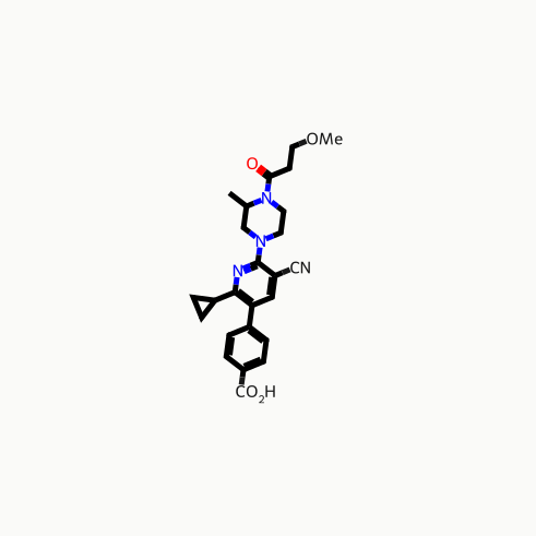 COCCC(=O)N1CCN(c2nc(C3CC3)c(-c3ccc(C(=O)O)cc3)cc2C#N)CC1C